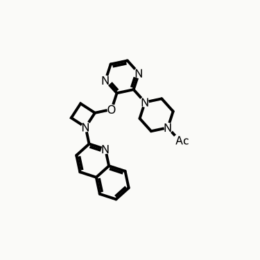 CC(=O)N1CCN(c2nccnc2OC2CCN2c2ccc3ccccc3n2)CC1